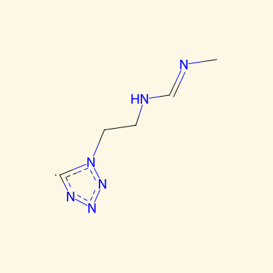 CN=CNCCn1[c]nnn1